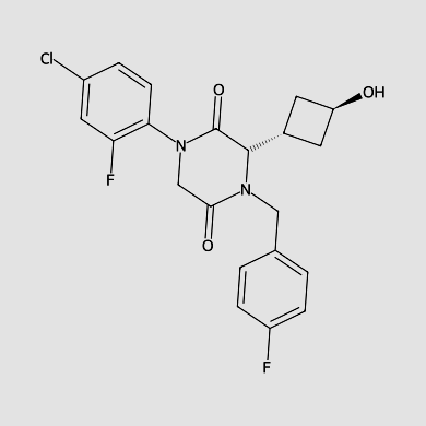 O=C1C([C@H]2C[C@H](O)C2)N(Cc2ccc(F)cc2)C(=O)CN1c1ccc(Cl)cc1F